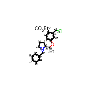 CCOC(=O)c1ccc(OC(CC)[C@@H]2CCCN2Cc2ccccc2)cc1CCl